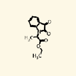 CCOC(=O)C(C)N1C(=O)C(=O)c2ccccc21